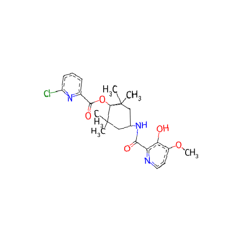 COc1ccnc(C(=O)NC2CC(C)(C)C(OC(=O)c3cccc(Cl)n3)C(C)(C)C2)c1O